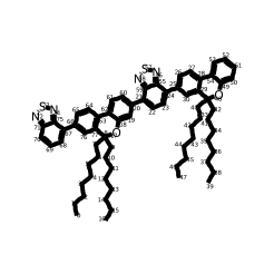 CCCCCCCCC1(CCCCCCCC)Oc2cc(-c3ccc(-c4ccc5c(c4)C(CCCCCCCC)(CCCCCCCC)Oc4ccccc4-5)c4nsnc34)ccc2-c2ccc(-c3cccc4nsnc34)cc21